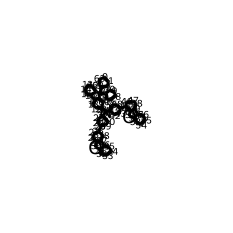 c1ccc(C2(c3ccccc3)c3ccccc3-c3ccc(N(c4ccc(-c5ccc6oc7ccccc7c6c5)cc4)c4ccc(-c5cccc6c5oc5ccccc56)cc4)cc32)cc1